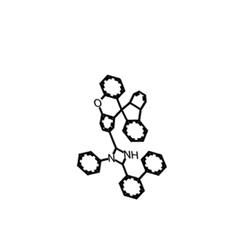 C1=CC2c3ccccc3C3(c4ccccc4Oc4ccc(C5NC(c6ccccc6-c6ccccc6)N5c5ccccc5)cc43)C2C=C1